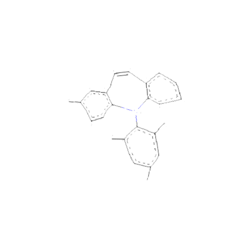 Cc1cc(C)c(N2c3ccccc3C=Cc3cc(C)ccc32)c(C)c1